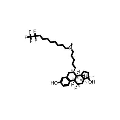 CN(CCCCCCCCC(F)(F)C(F)(F)F)CCCCC[C@@H]1Cc2cc(O)ccc2[C@@H]2[C@@H]1[C@@H]1CC[C@@](C)(O)[C@@]1(C)C[C@@H]2F